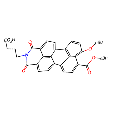 CCCCOC(=O)c1ccc2c3ccc4c5c(ccc(c6ccc(OCCCC)c1c62)c53)C(=O)N(CCCC(=O)O)C4=O